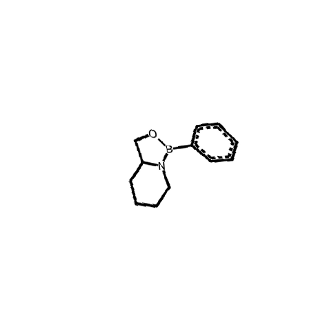 c1ccc(B2OCC3CCCCN23)cc1